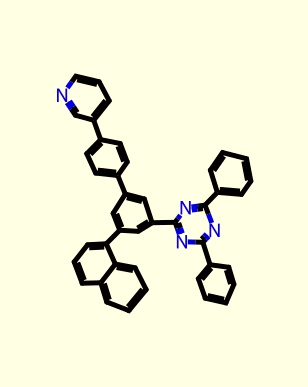 c1ccc(-c2nc(-c3ccccc3)nc(-c3cc(-c4ccc(-c5cccnc5)cc4)cc(-c4cccc5ccccc45)c3)n2)cc1